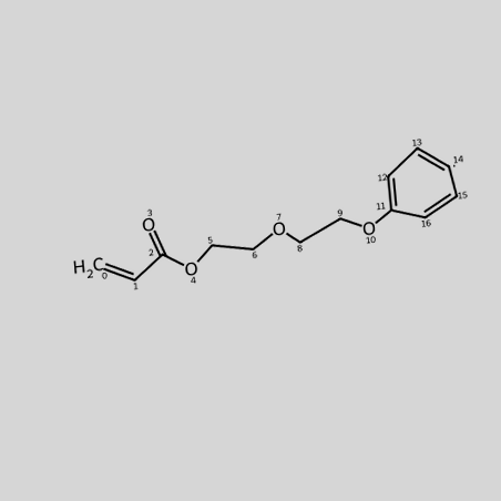 C=CC(=O)OCCOCCOc1cc[c]cc1